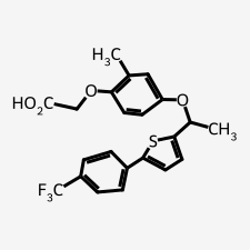 Cc1cc(OC(C)c2ccc(-c3ccc(C(F)(F)F)cc3)s2)ccc1OCC(=O)O